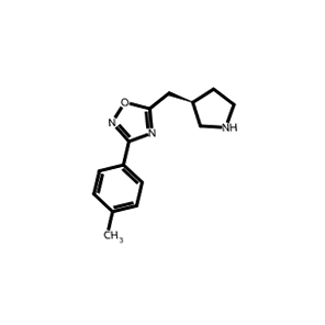 Cc1ccc(-c2noc(C[C@H]3CCNC3)n2)cc1